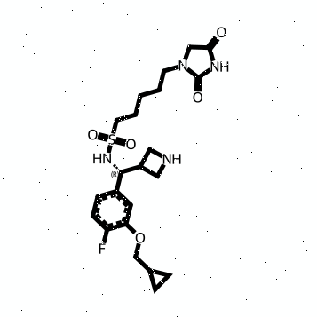 O=C1CN(CCCCCS(=O)(=O)N[C@@H](c2ccc(F)c(OCC3CC3)c2)C2CNC2)C(=O)N1